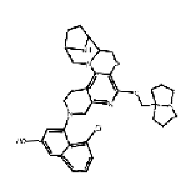 Oc1cc(N2CCc3c(nc(OCC45CCCN4CCC5)c4c3N3CC5CCC(N5)C3CO4)C2)c2c(Cl)cccc2c1